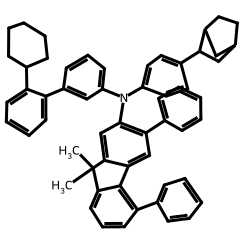 CC1(C)c2cc(N(c3ccc(C4CC5CCC4C5)cc3)c3cccc(-c4ccccc4C4CCCCC4)c3)c(-c3ccccc3)cc2-c2c(-c3ccccc3)cccc21